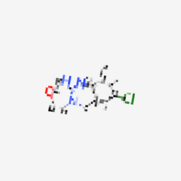 Cc1cc(Cl)cc(CN2CCOCC2)c1N